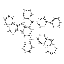 c1ccc(-c2ccc(N(c3ccccc3)c3cc(N(c4ccccc4)c4ccc5sc6ccccc6c5c4)cc4c3sc3c5ccccc5ccc43)cc2)cc1